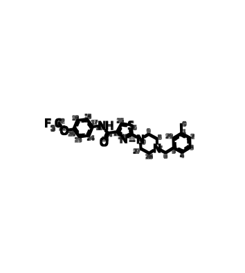 Cc1cccc(CN2CCN(c3nc(C(=O)Nc4ccc(OC(F)(F)F)cc4)cs3)CC2)c1